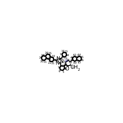 C=Cc1oc2cccc(-c3nc(-c4ccccc4)nc(-c4ccc5c(ccc6ccccc65)c4)n3)c2c1/C=C\Cc1ccc2ccccc2c1